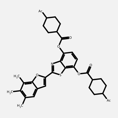 CC(=O)C1CCC(C(=O)Oc2ccc(OC(=O)C3CCC(C(C)=O)CC3)c3sc(-c4cc5cc(C)c(C)c(C)c5o4)nc23)CC1